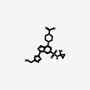 CC(C)C(=O)N1CCN(c2cc(S(=O)(=O)NC3(C#N)CC3)cn3c(-c4nnc(CO)s4)ncc23)CC1